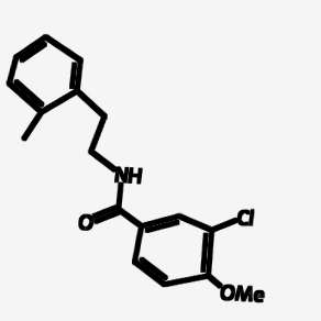 COc1ccc(C(=O)NCCc2ccccc2C)cc1Cl